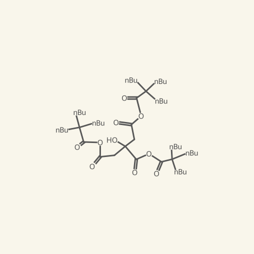 CCCCC(CCCC)(CCCC)C(=O)OC(=O)CC(O)(CC(=O)OC(=O)C(CCCC)(CCCC)CCCC)C(=O)OC(=O)C(CCCC)(CCCC)CCCC